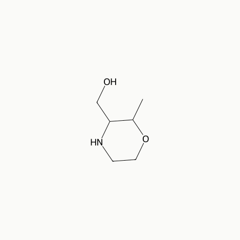 CC1OCCNC1CO